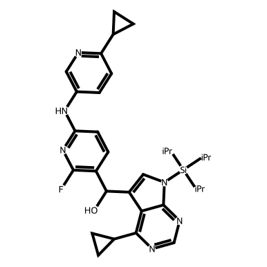 CC(C)[Si](C(C)C)(C(C)C)n1cc(C(O)c2ccc(Nc3ccc(C4CC4)nc3)nc2F)c2c(C3CC3)ncnc21